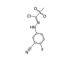 CS(=O)(=O)C(Cl)=NNc1ccc(F)c(C#N)c1